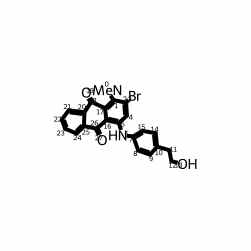 CNc1c(Br)cc(Nc2ccc(CCO)cc2)c2c1C(=O)c1ccccc1C2=O